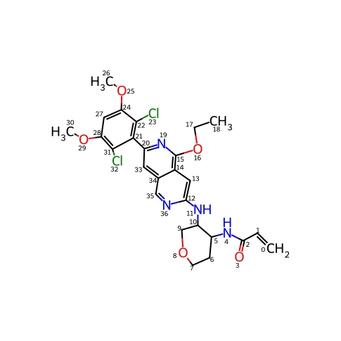 C=CC(=O)NC1CCOCC1Nc1cc2c(OCC)nc(-c3c(Cl)c(OC)cc(OC)c3Cl)cc2cn1